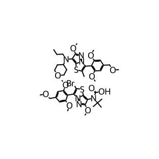 CCCN(c1c(OC)nn2c(-c3c(OC)cc(COC)cc3OC)c(C)sc12)C1CCOCC1.COCc1cc(OC)c(-c2c(Br)sc3c(N(C(=O)O)C(C)(C)C)c(OC)nn23)c(OC)c1